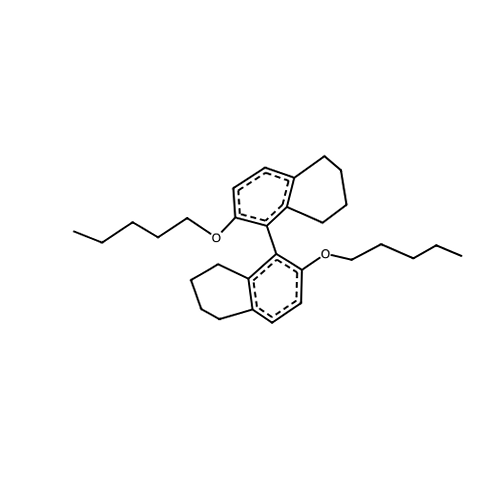 CCCCCOc1ccc2c(c1-c1c(OCCCCC)ccc3c1CCCC3)CCCC2